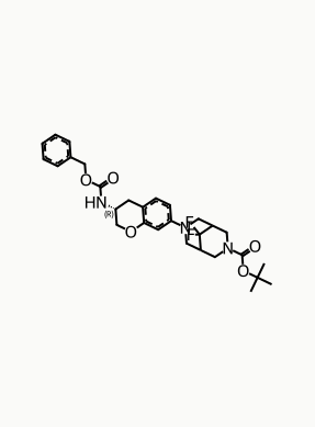 CC(C)(C)OC(=O)N1CC2CN(c3ccc4c(c3)OC[C@H](NC(=O)OCc3ccccc3)C4)CC(C1)C2(F)F